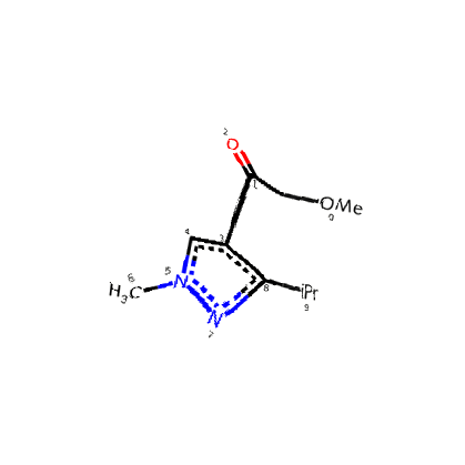 COC(=O)c1cn(C)nc1C(C)C